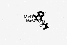 COC=C(C(=O)OC)c1ccccc1COC(=O)C1(C)CC1C